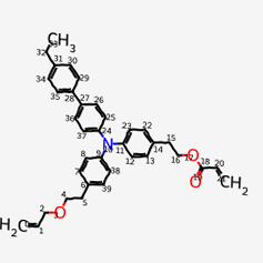 C=CCOCCc1ccc(N(c2ccc(CCOC(=O)C=C)cc2)c2ccc(-c3ccc(CC)cc3)cc2)cc1